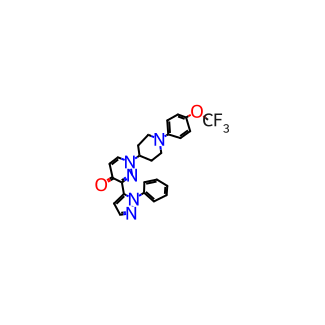 O=c1ccn(C2CCN(c3ccc(OC(F)(F)F)cc3)CC2)nc1-c1ccnn1-c1ccccc1